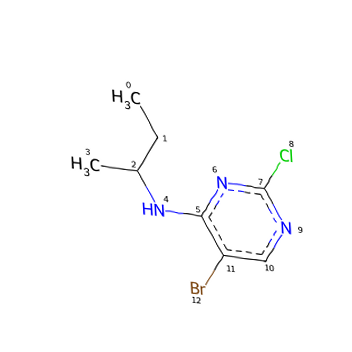 CCC(C)Nc1nc(Cl)ncc1Br